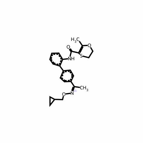 CC1=C(C(=O)Nc2ccccc2-c2ccc(/C(C)=N\OCC3CC3)cc2)SCCO1